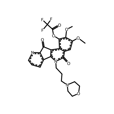 COc1cc2c(=O)n(CCCN3CCOCC3)c3c(c2c(OC(=O)C(F)(F)F)c1OC)C(=O)c1ncccc1-3